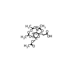 CC(=O)N[C@@H]1[C@H](OCC(=O)O)O[C@H](COC(C)=O)[C@@H](OC(C)=O)[C@@H]1OC(C)=O